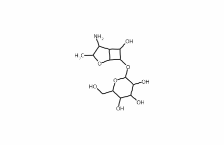 CC1OC2C(OC3OC(CO)C(O)C(O)C3O)C(O)C2C1N